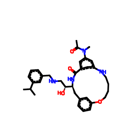 CC(=O)N(C)c1cc2cc(c1)C(=O)N[C@H]([C@H](O)CNCc1cccc(C(C)C)c1)Cc1cccc(c1)OCCCCN2